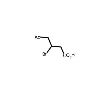 CC(=O)CC(Br)CC(=O)O